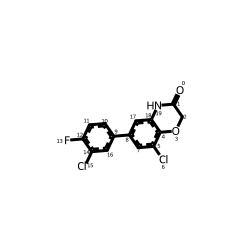 O=C1COc2c(Cl)cc(-c3ccc(F)c(Cl)c3)cc2N1